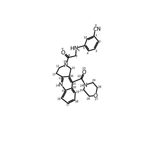 N#Cc1cccc(NCC(=O)N2CCc3nc4ccccc4c(C(=O)N4CCOCC4)c3C2)c1